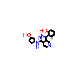 Oc1cccc(F)c1-c1nnc(N[C@@H]2CC[C@@H](O)C2)c2ccncc12